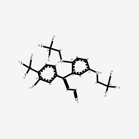 O=CC=C(c1ccc(C(F)(F)F)c(F)c1)c1cc(OCC(F)(F)F)ccc1OCC(F)(F)F